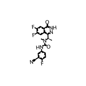 C[C@H](c1n[nH]c(=O)c2cc(F)c(F)cc12)N(C)C(=O)Nc1ccc(F)c(C#N)c1